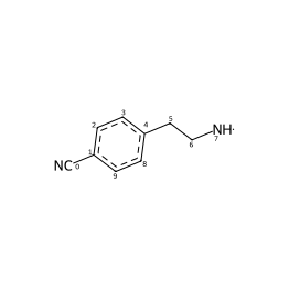 N#Cc1ccc(CC[NH])cc1